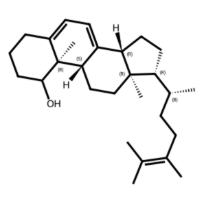 CC(C)=C(C)CC[C@@H](C)[C@H]1CC[C@H]2C3=CC=C4CCCC(O)[C@]4(C)[C@H]3CC[C@]12C